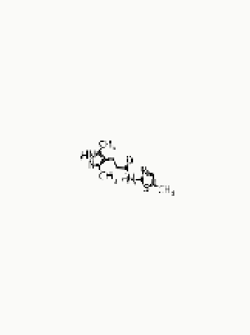 Cc1cnc(NC(=O)CCc2c(C)n[nH]c2C)s1